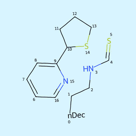 CCCCCCCCCCCCNC=S.c1ccc(C2CCCS2)nc1